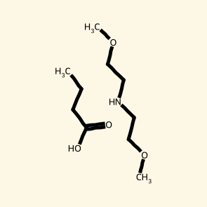 CCCC(=O)O.COCCNCCOC